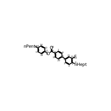 CCCCCCCc1ccc(-c2ccc(C(=O)Oc3ccc(CCCCC)cc3)cc2)cc1F